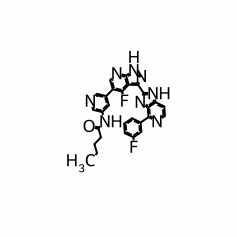 CCCCC(=O)Nc1cncc(-c2cnc3[nH]nc(-c4nc5c(-c6cccc(F)c6)nccc5[nH]4)c3c2F)c1